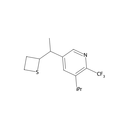 CC(C)c1cc(C(C)C2CCS2)cnc1C(F)(F)F